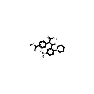 COC(=O)c1ccc(C(C(N)=O)C(C)c2cc([N+](=O)[O-])ccc2N2CCCCC2)cc1